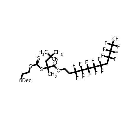 CCCCCCCCCCCCSC(=S)SC(C)(CC(C)(C)C#N)C(=O)OCCC(F)(F)C(F)(F)C(F)(F)C(F)(F)C(F)(F)CC(F)(F)C(F)(F)C(F)(F)C(F)(F)F